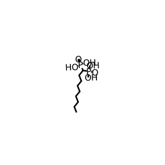 CCCCCCCCC(P(=O)(O)O)P(=O)(O)O